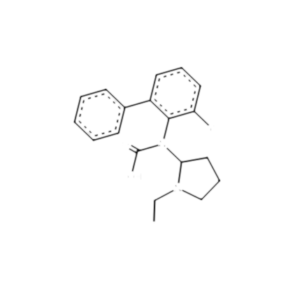 CCN1CCCC1N(C(=O)O)c1c(C)cccc1-c1ccccc1